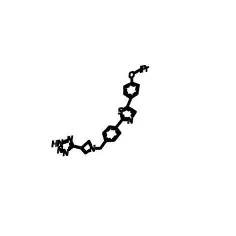 CC(C)Oc1ccc(-c2cnc(-c3ccc(CN4CC(c5nn[nH]n5)C4)cc3)s2)cc1